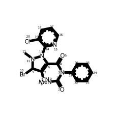 CNC(=O)N(C(=O)C1=C(C#N)C(Br)N(C)N1c1ncccc1Cl)c1ccccc1